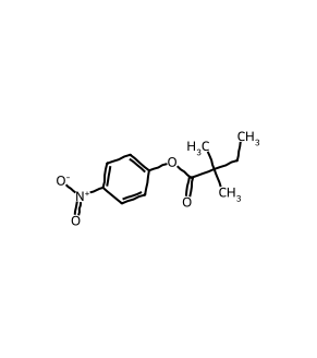 CCC(C)(C)C(=O)Oc1ccc([N+](=O)[O-])cc1